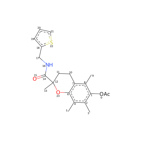 CC(=O)Oc1c(C)c(C)c2c(c1C)CCC(C)(C(=O)NCc1cccs1)O2